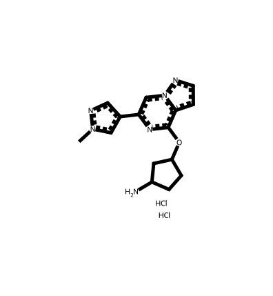 Cl.Cl.Cn1cc(-c2cn3nccc3c(OC3CCC(N)C3)n2)cn1